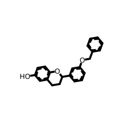 Oc1ccc2c(c1)CCC(c1cccc(OCc3ccccc3)c1)O2